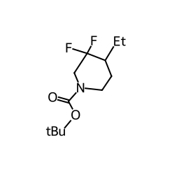 CCC1CCN(C(=O)OC(C)(C)C)CC1(F)F